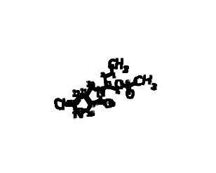 CCCC(COC(C)=O)N1Cc2cc(Cl)ncc2C1=O